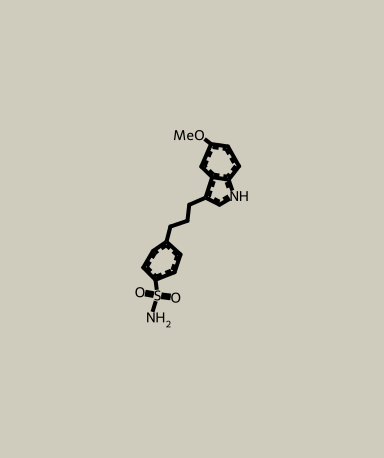 COc1ccc2[nH]cc(CCCc3ccc(S(N)(=O)=O)cc3)c2c1